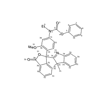 CCN(C(=O)Oc1ccccc1)c1ccc(C2(C3=Nc4ccccc4C3(C)C)OC(=O)c3ccccc32)c(OC)c1